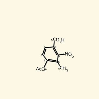 CC(=O)Oc1ccc(C(=O)O)c([N+](=O)[O-])c1C